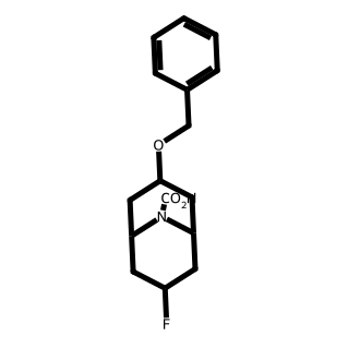 O=C(O)N1C2CC(F)CC1CC(OCc1ccccc1)C2